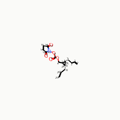 C=CCC[C@H]1C(COC(=O)ON2C(=O)CCC2=O)[C@H]1CCC